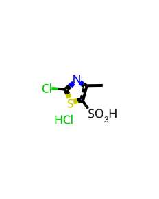 Cc1nc(Cl)sc1S(=O)(=O)O.Cl